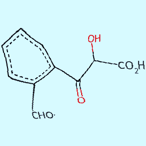 O=[C]c1ccccc1C(=O)C(O)C(=O)O